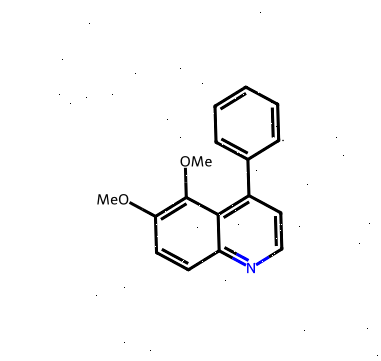 COc1ccc2nccc(-c3[c]cccc3)c2c1OC